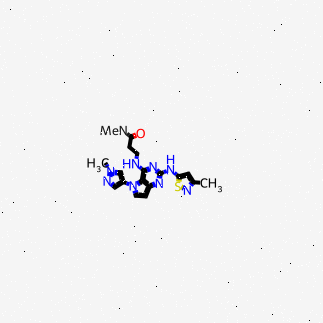 CNC(=O)CCNc1nc(Nc2cc(C)ns2)nc2ccn(-c3cnn(C)c3)c12